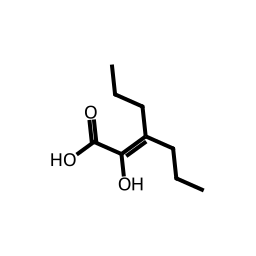 CCCC(CCC)=C(O)C(=O)O